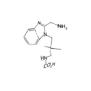 CC(C)(CNC(=O)O)Cn1c(CN)nc2ccccc21